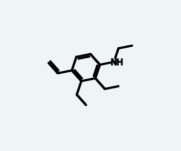 C=Cc1ccc(NCC)c(CC)c1CC